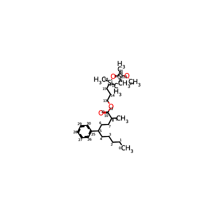 CCCCCC(CCC(C)C(=O)OCCC[Si](C)(C)O[Si](C)(C)OC)c1ccccc1